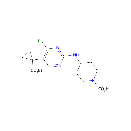 CCOC(=O)C1(c2cnc(NC3CCN(C(=O)O)CC3)nc2Cl)CC1